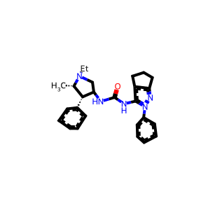 CCN1CC(NC(=O)Nc2c3c(nn2-c2ccccc2)CCC3)[C@H](c2ccccc2)[C@@H]1C